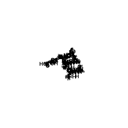 C#CCN1C(=O)COc2cc(F)c(/N=c3\snc4n3CC(C)(C)C4)cc21.COc1cc(OC)nc(NC(=O)NS(=O)(=O)c2ncccc2C(=O)N(C)C)n1.COc1nc(C)nc(NC(=O)NS(=O)(=O)c2ccccc2CCC(F)(F)F)n1.C[S+](C)C.O=C(O)CNCP(=O)([O-])O